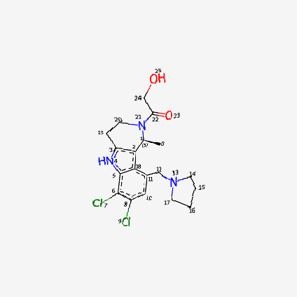 C[C@H]1c2c([nH]c3c(Cl)c(Cl)cc(CN4CCCC4)c23)CCN1C(=O)CO